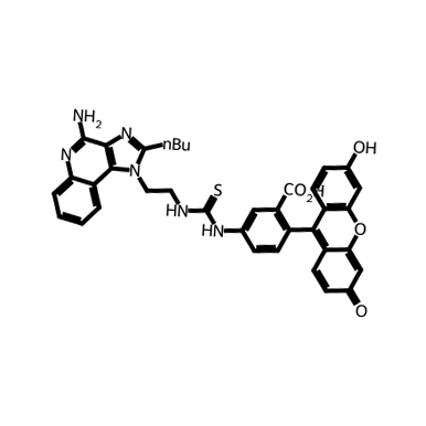 CCCCc1nc2c(N)nc3ccccc3c2n1CCNC(=S)Nc1ccc(-c2c3ccc(=O)cc-3oc3cc(O)ccc23)c(C(=O)O)c1